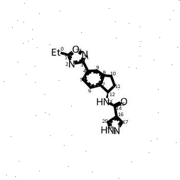 CCc1nc(-c2ccc3c(c2)CC[C@H]3NC(=O)c2cn[nH]c2)no1